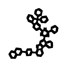 c1ccc(-c2nc(-c3ccc4c(c3)C(c3ccccc3)(c3ccccc3)c3ccccc3-4)nc(-c3cc4sc5c(-c6ccc(-c7ccc8ccccc8c7)cc6)cccc5c4c4ccccc34)n2)cc1